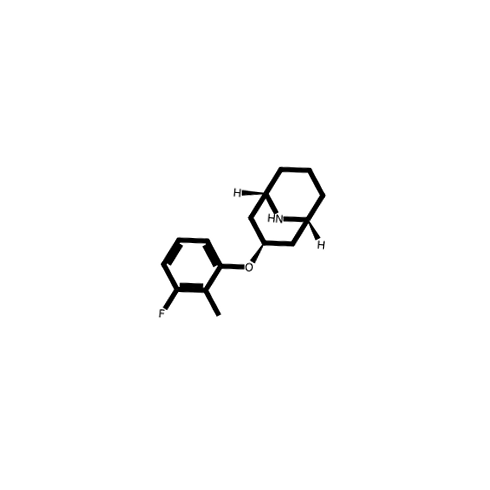 Cc1c(F)cccc1O[C@@H]1C[C@H]2CCC[C@@H](C1)N2